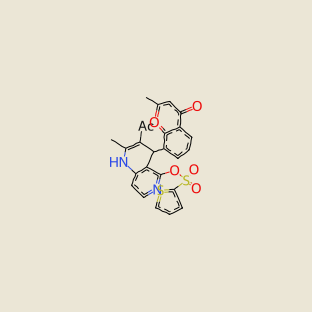 CC(=O)C1=C(C)Nc2ccnc(OS(=O)(=O)c3cccs3)c2C1c1cccc2c(=O)cc(C)oc12